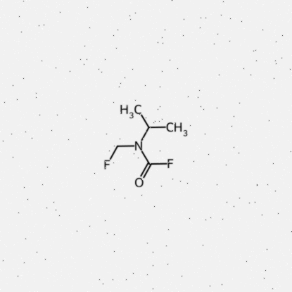 CC(C)N(CF)C(=O)F